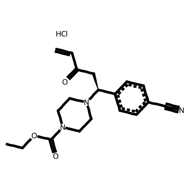 C=CC(=O)C[C@@H](c1ccc(C#N)cc1)N1CCN(C(=O)OCC)CC1.Cl